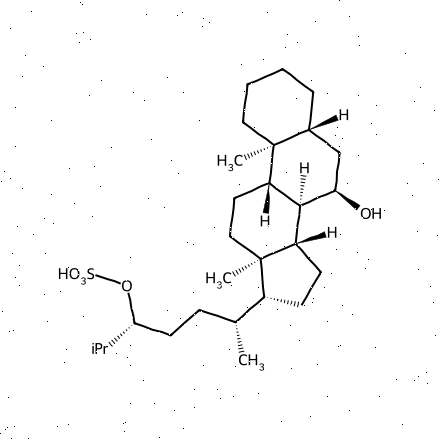 CC(C)[C@@H](CC[C@@H](C)[C@H]1CC[C@H]2[C@@H]3[C@H](O)C[C@H]4CCCC[C@]4(C)[C@H]3CC[C@]12C)OS(=O)(=O)O